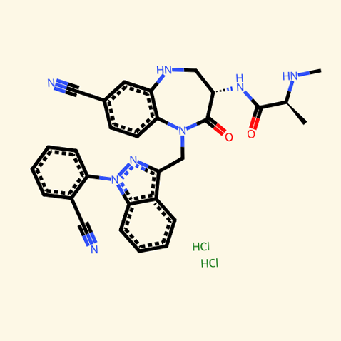 CN[C@@H](C)C(=O)N[C@H]1CNc2cc(C#N)ccc2N(Cc2nn(-c3ccccc3C#N)c3ccccc23)C1=O.Cl.Cl